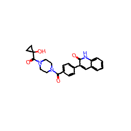 O=C(c1ccc(-c2cc3ccccc3[nH]c2=O)cc1)N1CCN(C(=O)C2(O)CC2)CC1